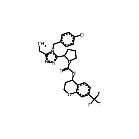 CCc1nnc(C2CCCN2C(=O)NC2CCOc3cc(C(F)(F)F)ccc32)n1Cc1ccc(Cl)cc1